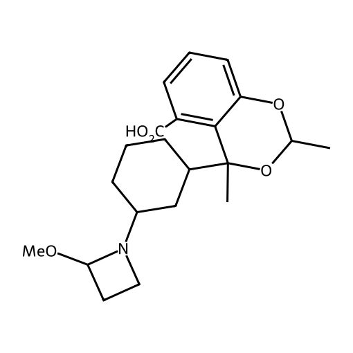 COC1CCN1C1CCCC(C2(C)OC(C)Oc3cccc(C(=O)O)c32)C1